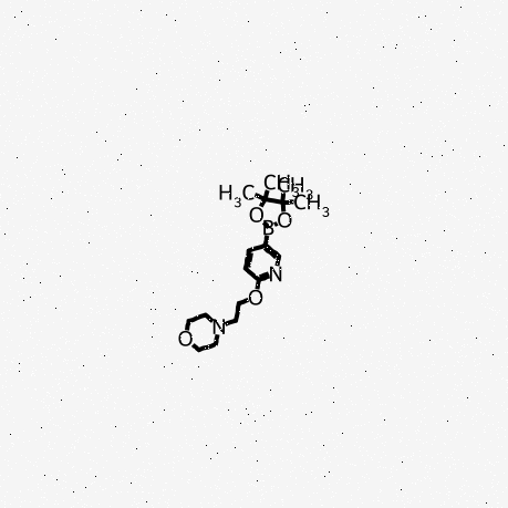 CC1(C)OB(c2ccc(OCCN3CCOCC3)nc2)OC1(C)C